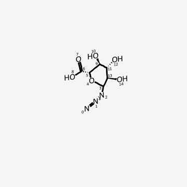 [N-]=[N+]=NC1O[C@H](C(=O)O)[C@@H](O)[C@H](O)[C@H]1O